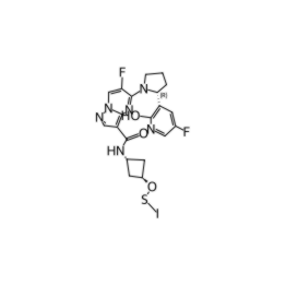 O=C(N[C@H]1C[C@H](OSI)C1)c1cnn2cc(F)c(N3CCC[C@@H]3c3cc(F)cnc3O)nc12